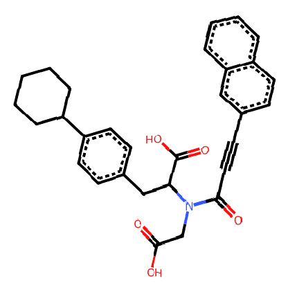 O=C(O)CN(C(=O)C#Cc1ccc2ccccc2c1)C(Cc1ccc(C2CCCCC2)cc1)C(=O)O